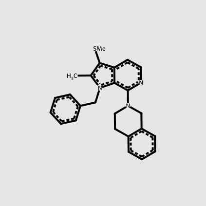 CSc1c(C)n(Cc2ccccc2)c2c(N3CCc4ccccc4C3)nccc12